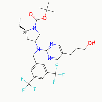 CC[C@@H]1CC(N(Cc2cc(C(F)(F)F)cc(C(F)(F)F)c2)c2ncc(CCCO)cn2)CN1C(=O)OC(C)(C)C